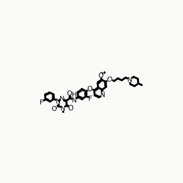 COc1cc2c(Oc3ccc(NC(=O)c4nn(-c5cccc(F)c5)c(=O)n(C)c4=O)cc3F)ccnc2cc1OCCCCN1CCC(C)CC1